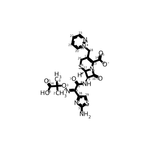 CC(C)(O/N=C(\C(=O)N[C@@H]1C(=O)N2C(C(=O)[O-])=C(C[n+]3ccccn3)CS[C@H]12)c1csc(N)n1)C(=O)O